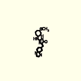 COC1CCCC(NC2=N/C(=C\c3ccc4nccnc4c3)C(=O)N2)CC1